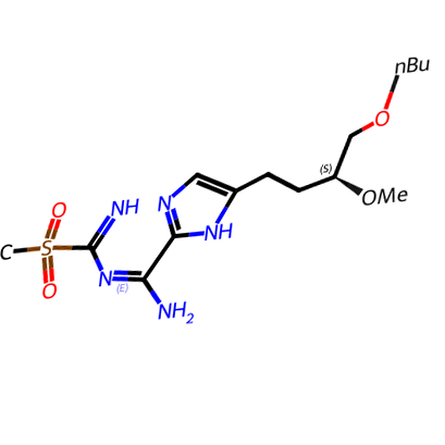 CCCCOC[C@H](CCc1cnc(/C(N)=N\C(=N)S(C)(=O)=O)[nH]1)OC